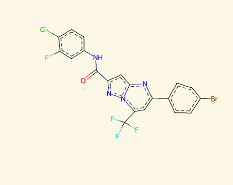 O=C(Nc1ccc(Cl)c(F)c1)c1cc2nc(-c3ccc(Br)cc3)cc(C(F)(F)F)n2n1